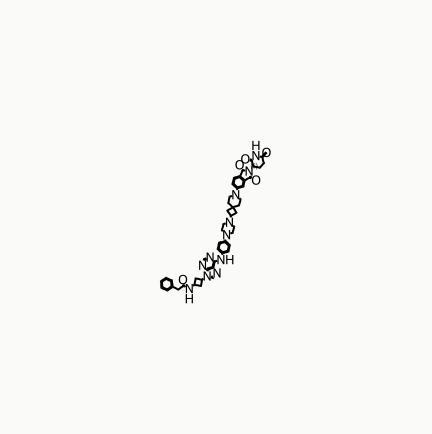 O=C1CC[C@H](N2C(=O)c3ccc(N4CCC5(CC4)CC(N4CCN(c6ccc(Nc7ncnc8c7ncn8C7CC(NC(=O)Cc8ccccc8)C7)cc6)CC4)C5)cc3C2=O)C(=O)N1